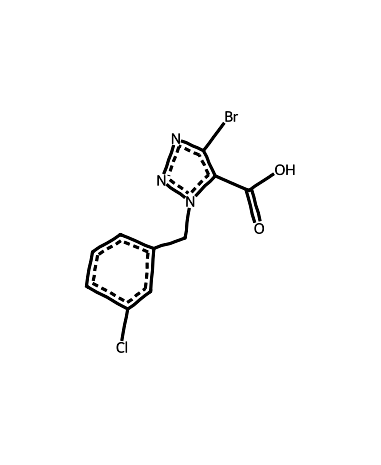 O=C(O)c1c(Br)nnn1Cc1cccc(Cl)c1